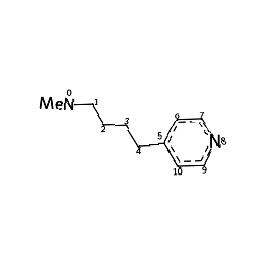 CNCCCCc1ccncc1